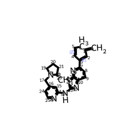 C=C/C=C(\C=C/C)c1ccc2nc(Nc3cc(CN4CCC[C@H]4C)ccn3)sc2n1